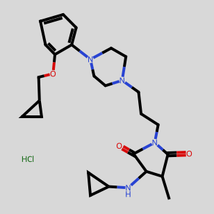 CC1C(=O)N(CCCN2CCN(c3ccccc3OCC3CC3)CC2)C(=O)C1NC1CC1.Cl